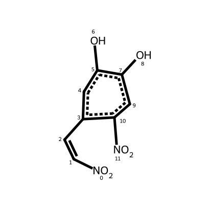 O=[N+]([O-])/C=C\c1cc(O)c(O)cc1[N+](=O)[O-]